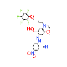 CCN(CCCCOc1c(F)c(F)c(F)c(F)c1F)c1cc(CO)c(N=Nc2ccc([N+](=O)[O-])cc2C#N)cc1OC